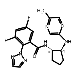 Cc1cnc(N[C@H]2CCC[C@@H]2NC(=O)c2cc(F)cc(F)c2-n2nccn2)cn1